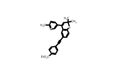 CCOC(=O)c1ccc(C#Cc2ccc3c(c2)C(c2ccc(C)nc2)=CC(C)(C)S3)cc1